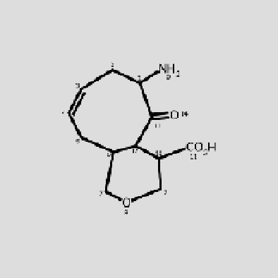 NC1CC=CCC2COCC(C(=O)O)C2C1=O